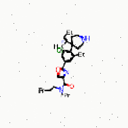 CC/C=C(/C)C1(c2c(Cl)cc(-c3nc(C(=O)N(CCC)CCC(C)C)co3)cc2CC)CCNCC1